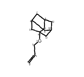 C=CCOC12CC3CC(CC(C3)C1)C2